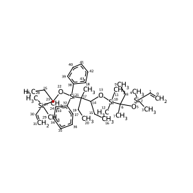 C=C[Si](C)(C)OC(C)(CC)[Si](C)(C)OC(CC)C(C)(CC)[Si](OC(C)(CC)[Si](C)(C)C=C)(c1ccccc1)c1ccccc1